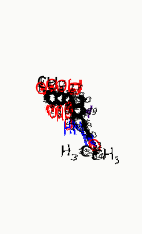 COC1=CC(=O)c2c(O)c3c(c(O)c2C1=O)C(=O)[C@]1(CCc2c1c(O)c1c(=O)[nH]c(/C=N/OC(C)C)cc1c2I)C3=O